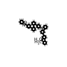 CC1(C)c2ccccc2-c2ccc(-c3ccc4c(c3)c3ccccc3n4-c3ccc(-c4ccccc4-c4ccccc4-c4ccc(-c5nc6ccccc6o5)cc4)cc3)cc21